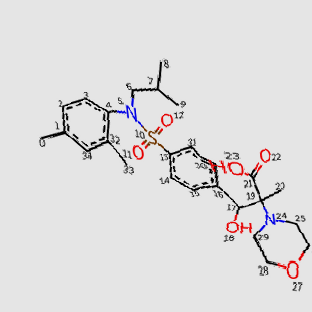 Cc1ccc(N(CC(C)C)S(=O)(=O)c2ccc(C(O)C(C)(C(=O)O)N3CCOCC3)cc2)c(C)c1